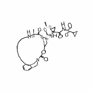 C=C[C@@H]1C[C@]1(NC(=O)[C@@H]1CC2CN1C(=O)[C@H](C)NCCCCCCCc1cccc3c1CN(C3)C(=O)O2)C(=O)NS(=O)(=O)C1CC1